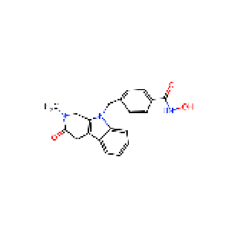 CN1Cc2c(c3ccccc3n2Cc2ccc(C(=O)NO)cc2)CC1=O